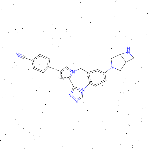 N#Cc1ccc(-c2cc3n(c2)Cc2cc(N4CC5CNC5C4)ccc2-n2cnnc2-3)cc1